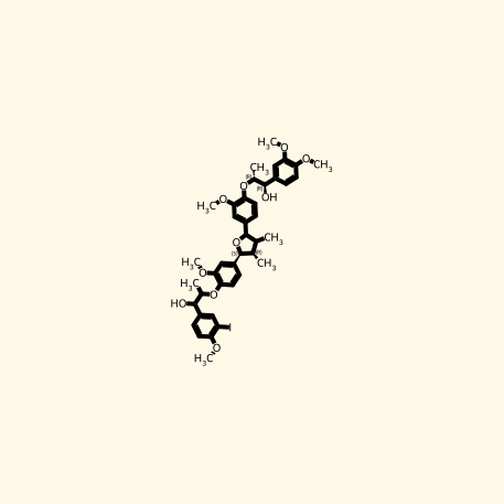 COc1ccc(C(O)C(C)Oc2ccc([C@H]3OC(c4ccc(O[C@H](C)[C@H](O)c5ccc(OC)c(OC)c5)c(OC)c4)C(C)[C@H]3C)cc2OC)cc1I